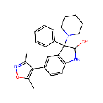 Cc1noc(C)c1-c1ccc2c(c1)C(c1ccccc1)(N1CCCCC1)C(O)N2